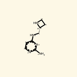 Nc1nccc(NC[C@H]2CCN2)n1